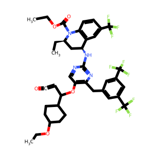 CCOC(=O)N1c2ccc(C(F)(F)F)cc2[C@@H](Nc2ncc(OC(C=C=O)C3CCC(OCC)CC3)c(Cc3cc(C(F)(F)F)cc(C(F)(F)F)c3)n2)C[C@H]1CC